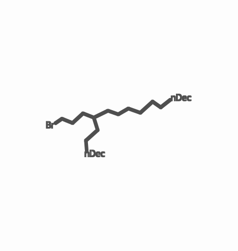 CCCCCCCCCCCCCCCCC(CCCBr)CCCCCCCCCCCC